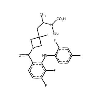 CC(CC1(F)CN(C(=O)c2ccc(F)c(F)c2Nc2ccc(I)cc2F)C1)N(C(=O)O)C(C)(C)C